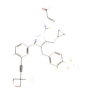 CC1(C#Cc2cc(-c3nn(-c4nc(C(=O)O)cs4)c(CC4CC4)c3Cc3ccc(S(N)(=O)=O)c(F)c3)ccc2F)COC1